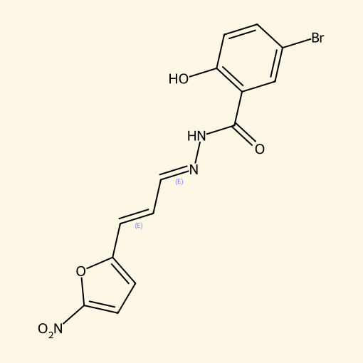 O=C(N/N=C/C=C/c1ccc([N+](=O)[O-])o1)c1cc(Br)ccc1O